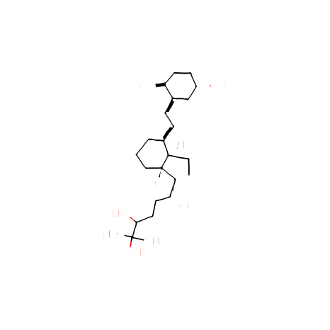 C=C1CC[C@H](O)CC1=CC=C1CCC[C@]2(C)[C@@H]1CC[C@@H]2[C@H](C)CCC(O)C(C)(C)O